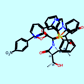 C[C@@H](O)[C@H]1C(=O)N(C(C(=O)OCc2ccc([N+](=O)[O-])cc2)=P(c2ccccc2)(c2ccccc2)c2ccccc2)[C@@H]1[C@@H](C)C(=O)C1Sc2c(-c3cccnc3)ncn2C1=C=O